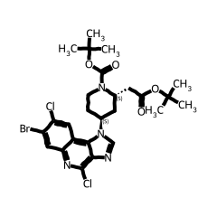 CC(C)(C)OC(=O)C[C@@H]1C[C@@H](n2cnc3c(Cl)nc4cc(Br)c(Cl)cc4c32)CCN1C(=O)OC(C)(C)C